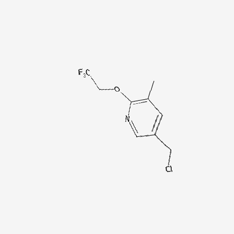 Cc1cc(CCl)cnc1OCC(F)(F)F